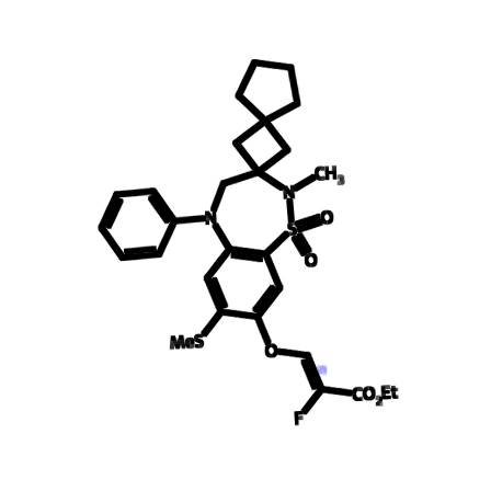 CCOC(=O)/C(F)=C/Oc1cc2c(cc1SC)N(c1ccccc1)CC1(CC3(CCCC3)C1)N(C)S2(=O)=O